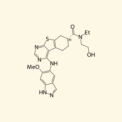 CCN(CCO)C(=O)[C@@H]1CCc2c(sc3ncnc(Nc4cc5cn[nH]c5cc4OC)c23)C1